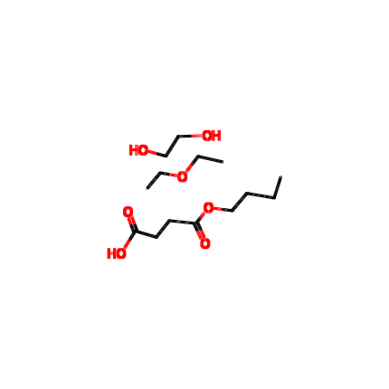 CCCCOC(=O)CCC(=O)O.CCOCC.OCCO